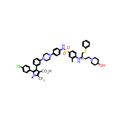 Cc1cc(S(=O)(=O)Nc2ccc(N3CCN(c4cccc(-c5c(C(=O)O)c(C(F)(F)F)n(C)c5-c5ccc(Cl)cc5)c4)CC3)cc2)ccc1N[C@H](CCN1CCC(O)CC1)CSc1ccccc1